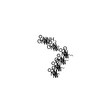 CCCCc1nnc2nc3c(nn12)C(=O)c1ccccc1-3.CCCc1nnc2nc3c(nn12)-c1ccccc1C3=O.CCCc1nnc2nc3c(nn12)C(=O)c1ccccc1-3.CCc1nnc2nc3c(nn12)-c1ccccc1C3=O.CCc1nnc2nc3c(nn12)C(=O)c1ccccc1-3.Nc1nnc2nc3c(nn12)-c1ccccc1C3=O